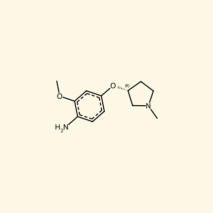 COc1cc(O[C@@H]2CCN(C)C2)ccc1N